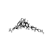 C[C@H]1CCC(c2ccc3cn(C4CCN(C)CS[C@@H]4C)nc3c2)=NC1